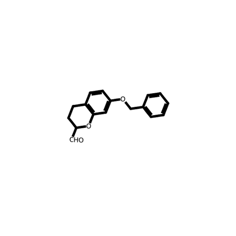 O=CC1CCc2ccc(OCc3ccccc3)cc2O1